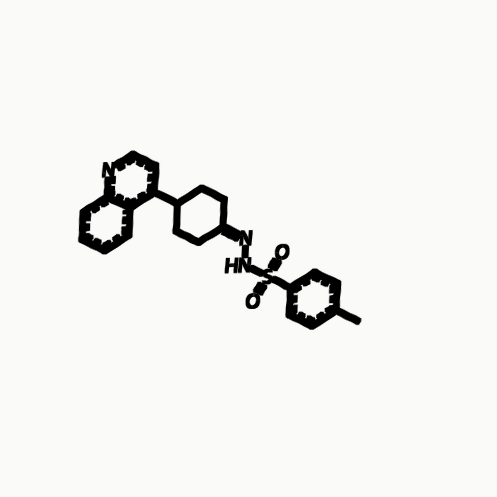 Cc1ccc(S(=O)(=O)NN=C2CCC(c3ccnc4ccccc34)CC2)cc1